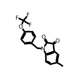 Cc1ccc2c(c1)C(=O)C(=O)N2Cc1ccc(OC(F)(F)F)cc1